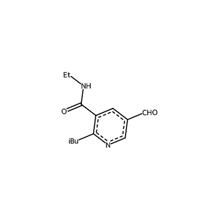 CCNC(=O)c1cc(C=O)cnc1C(C)CC